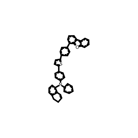 C1=Cc2c(cccc2N(c2ccccc2)c2ccc(-c3ccc(-c4ccc(-c5cccc6c5oc5ccccc56)cc4)s3)cc2)CC1